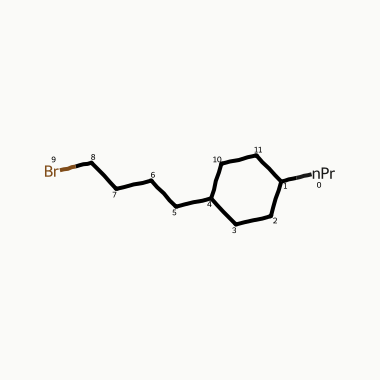 CCCC1CCC(CCCCBr)CC1